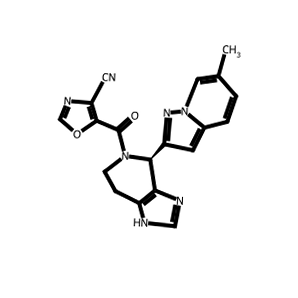 Cc1ccc2cc([C@H]3c4nc[nH]c4CCN3C(=O)c3ocnc3C#N)nn2c1